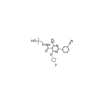 CC(C)(O)CONC(=O)c1c(N)nc(-c2cccc(C#N)c2)nc1O[C@H]1C[C@@H](F)C1